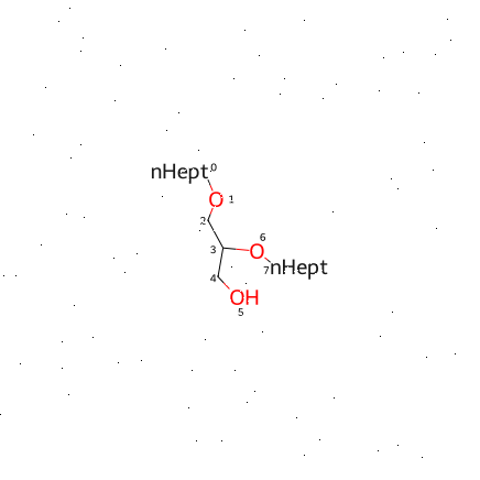 CCCCCCCOCC(CO)OCCCCCCC